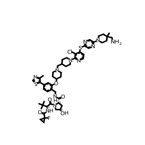 Cc1ncsc1-c1ccc(CNC(=O)[C@@H]2C[C@@H](O)CN2C(=O)[C@@H](NC(=O)C2(F)CC2)C(C)(C)C)c(OC2CCN(CC3CCN(c4nccc(Sc5cnc(N6CCC(C)(CN)CC6)cn5)c4Cl)CC3)CC2)c1